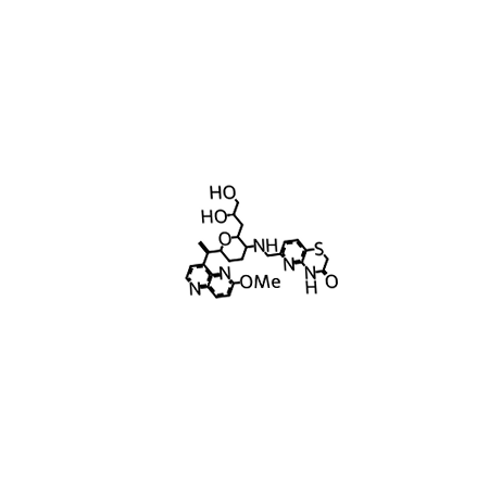 C=C(c1ccnc2ccc(OC)nc12)C1CCC(NCc2ccc3c(n2)NC(=O)CS3)C(C[C@@H](O)CO)O1